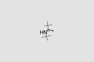 C[C@@H](NC(C)(C)C)C(C)(C)C